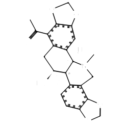 CC(=O)c1c2c(cc3c1OCO3)[C@@H]1[C@@H](c3ccc4c(c3CN1C)OCO4)[C@@H](O)C2